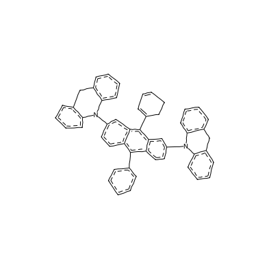 C1=CCCC(c2c3cc(N4c5ccccc5Cc5ccccc54)ccc3c(-c3ccccc3)c3ccc(N4c5ccccc5Cc5ccccc54)cc23)=C1